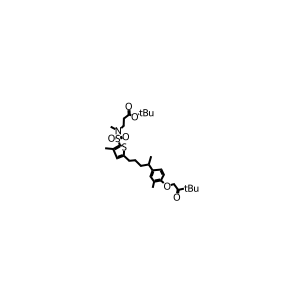 Cc1cc(C(C)CCCc2cc(C)c(S(=O)(=O)N(C)CCC(=O)OC(C)(C)C)s2)ccc1OCC(=O)C(C)(C)C